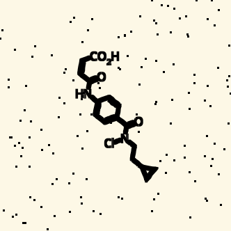 O=C(O)/C=C\C(=O)Nc1ccc(C(=O)N(Cl)CCC2CC2)cc1